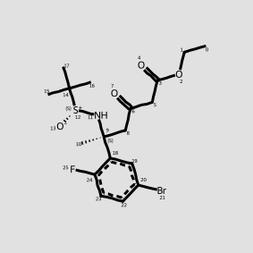 CCOC(=O)CC(=O)C[C@](C)(N[S@+]([O-])C(C)(C)C)c1cc(Br)ccc1F